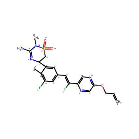 C=CCOc1cnc(/C(F)=C/c2cc(F)c3c(c2)[C@]2(C3)CS(=O)(=O)N(C)C(N)=N2)cn1